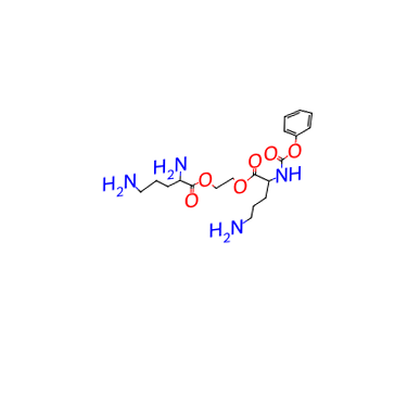 NCCCC(N)C(=O)OCCOC(=O)C(CCCN)NC(=O)Oc1ccccc1